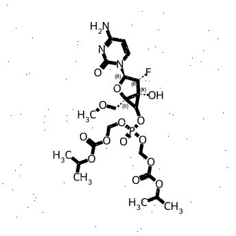 COC[C@]12O[C@@H](n3ccc(N)nc3=O)[C@H](F)[C@@]1(O)C2OP(=O)(OCOC(=O)OC(C)C)OCOC(=O)OC(C)C